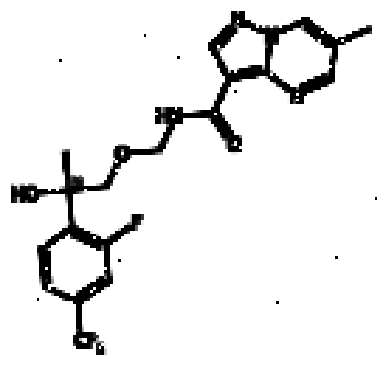 Cc1cnc2c(C(=O)NCOC[C@@](C)(O)c3ccc(C(F)(F)F)cc3F)cnn2c1